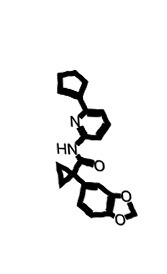 O=C(Nc1cccc(C2=CCCC2)n1)C1(c2ccc3c(c2)OCO3)CC1